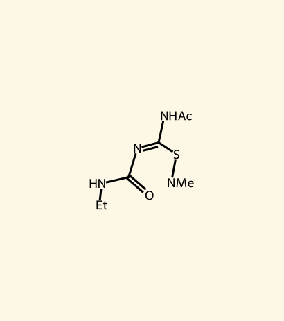 CCNC(=O)/N=C(/NC(C)=O)SNC